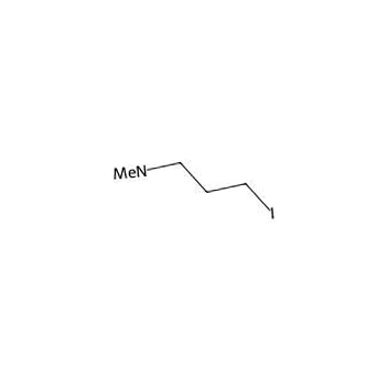 CNCCCI